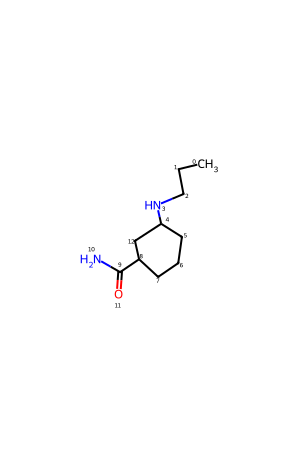 CCCNC1CCCC(C(N)=O)C1